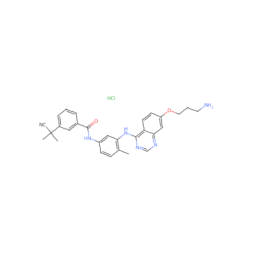 Cc1ccc(NC(=O)c2cccc(C(C)(C)C#N)c2)cc1Nc1ncnc2cc(OCCCN)ccc12.Cl